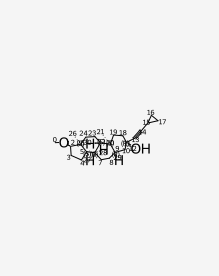 COC1CC[C@H]2[C@@H]3CC[C@@H]4C[C@@](O)(C#CC5CC5)CC[C@]4(C)[C@H]3CC[C@]12C